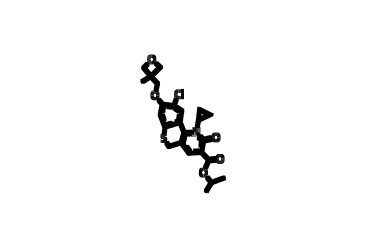 CC(C)OC(=O)c1cc2c(n(C3CC3)c1=O)-c1cc(Cl)c(OCC3(C)COC3)cc1SC2